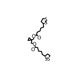 O=C(CCCCC1CCSS1)OCC1(COC(=O)CCCCC2CCSS2)CC1